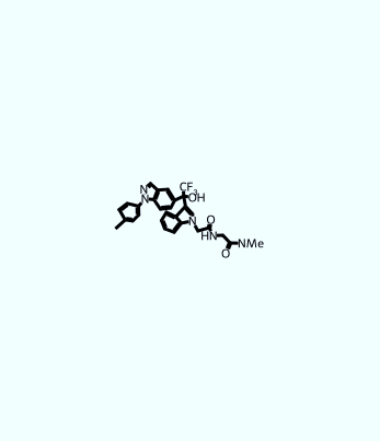 CNC(=O)CNC(=O)Cn1cc(C(O)(c2ccc3c(cnn3-c3ccc(C)cc3)c2)C(F)(F)F)c2ccccc21